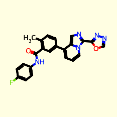 Cc1ccc(-c2cccn3c(-c4nnco4)ncc23)cc1C(=O)Nc1ccc(F)cc1